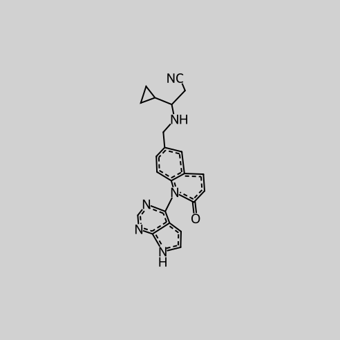 N#CCC(NCc1ccc2c(ccc(=O)n2-c2ncnc3[nH]ccc23)c1)C1CC1